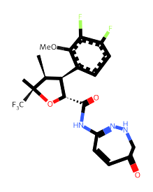 COc1c([C@H]2[C@H](C(=O)NC3=NNCC(=O)C=C3)O[C@@](C)(C(F)(F)F)[C@H]2C)ccc(F)c1F